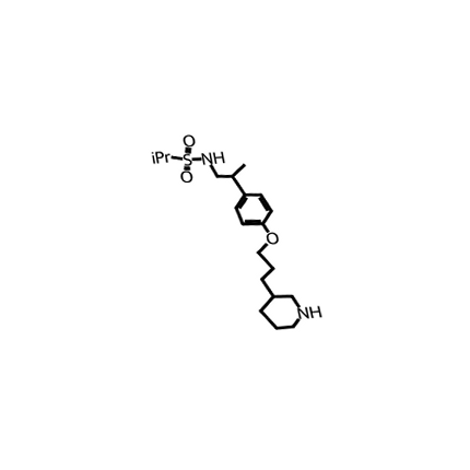 CC(CNS(=O)(=O)C(C)C)c1ccc(OCCCC2CCCNC2)cc1